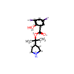 CC(C)(OC(=O)c1cc(I)cc(I)c1O)C1CCNCC1